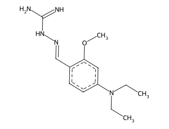 CCN(CC)c1ccc(C=NNC(=N)N)c(OC)c1